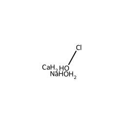 O.OCl.[CaH2].[NaH]